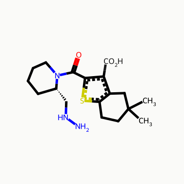 CC1(C)CCc2sc(C(=O)N3CCCC[C@H]3CNN)c(C(=O)O)c2C1